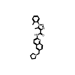 Cc1ccccc1-n1nnc(C(=O)Nc2ccc3cc(CN4CCCC4)ccc3n2)c1C